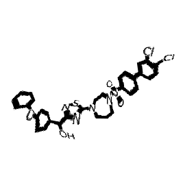 O=S(=O)(c1ccc(-c2ccc(Cl)c(Cl)c2)cc1)N1CCCN(c2nc(C(O)c3ccc(Oc4ccccc4)cc3)ns2)CC1